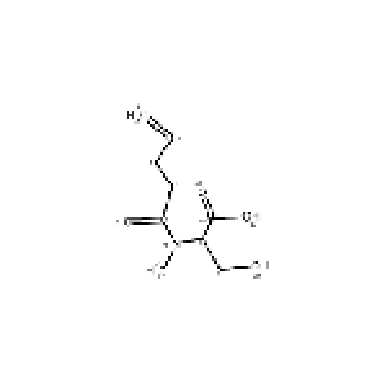 C=CCCC(=O)N(C)C(CO)C(=O)O